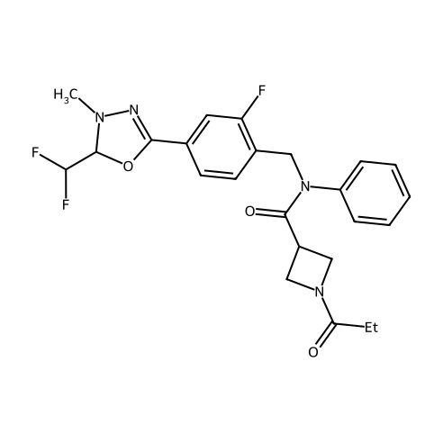 CCC(=O)N1CC(C(=O)N(Cc2ccc(C3=NN(C)C(C(F)F)O3)cc2F)c2ccccc2)C1